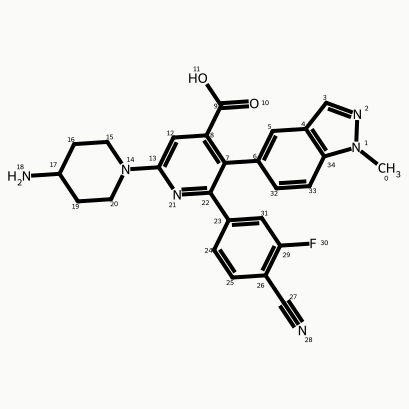 Cn1ncc2cc(-c3c(C(=O)O)cc(N4CCC(N)CC4)nc3-c3ccc(C#N)c(F)c3)ccc21